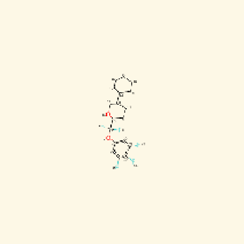 Fc1cc(OC(F)(F)C2CCC(C3CCCCC3)CO2)cc(F)c1F